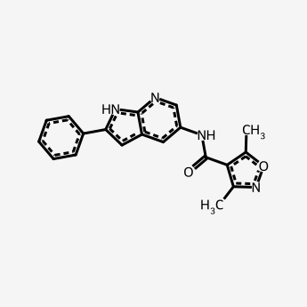 Cc1noc(C)c1C(=O)Nc1cnc2[nH]c(-c3ccccc3)cc2c1